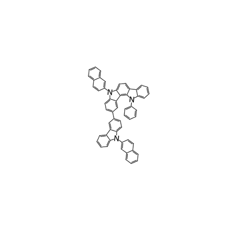 c1ccc(-n2c3ccccc3c3ccc4c(c5cc(-c6ccc7c(c6)c6ccccc6n7-c6ccc7ccccc7c6)ccc5n4-c4ccc5ccccc5c4)c32)cc1